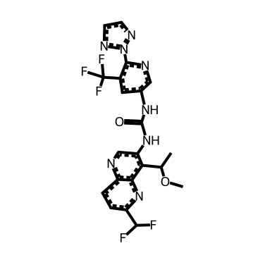 COC(C)c1c(NC(=O)Nc2cnc(-n3nccn3)c(C(F)(F)F)c2)cnc2ccc(C(F)F)nc12